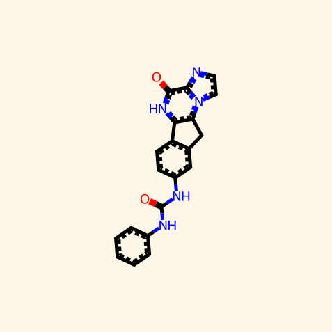 O=C(Nc1ccccc1)Nc1ccc2c(c1)Cc1c-2[nH]c(=O)c2nccn12